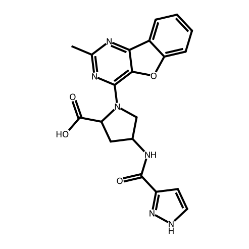 Cc1nc(N2CC(NC(=O)c3cc[nH]n3)CC2C(=O)O)c2oc3ccccc3c2n1